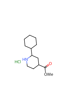 COC(=O)C1CCNC(C2CCCCC2)C1.Cl